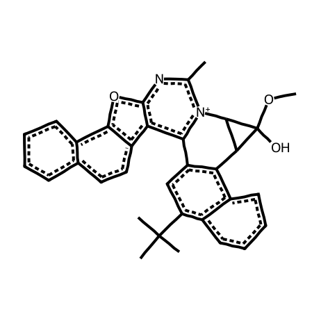 COC1(O)C2c3c(cc(C(C)(C)C)c4ccccc34)-c3c4c(nc(C)[n+]3C21)oc1c2ccccc2ccc14